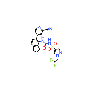 N#Cc1cc(-c2ccc3c(c2NC(=O)NS(=O)(=O)c2cnn(CC(F)F)c2)CCC3)ccn1